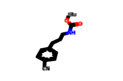 CC(C)(C)OC(=O)NCCCc1ccc(C#N)cc1